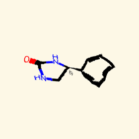 O=C1NC[C@H](c2ccccc2)N1